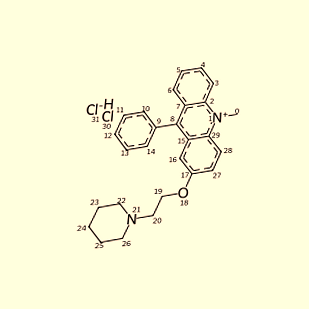 C[n+]1c2ccccc2c(-c2ccccc2)c2cc(OCCN3CCCCC3)ccc21.Cl.[Cl-]